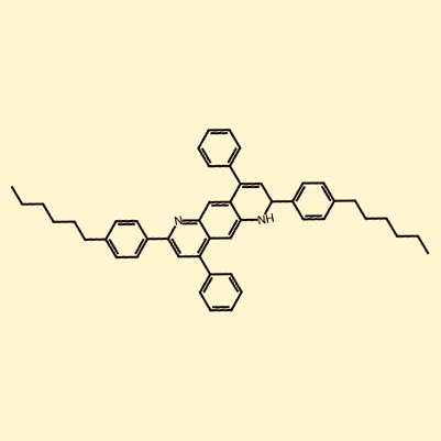 CCCCCCc1ccc(-c2cc(-c3ccccc3)c3cc4c(cc3n2)C(c2ccccc2)=CC(c2ccc(CCCCCC)cc2)N4)cc1